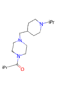 CC(C)C(=O)N1CCN(CC2CCN(C(C)C)CC2)CC1